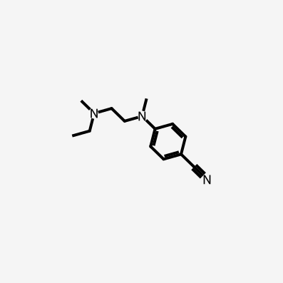 CCN(C)CCN(C)c1ccc(C#N)cc1